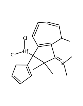 CC1C=CC=CC2=C1C(=[Si](C)C)C(C)(C)[C]2(C1=CC=CC1)[Hf]([Cl])[Cl]